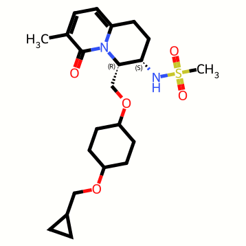 Cc1ccc2n(c1=O)[C@@H](COC1CCC(OCC3CC3)CC1)[C@@H](NS(C)(=O)=O)CC2